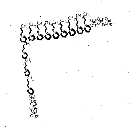 CCCC[n+]1ccccc1.CCCC[n+]1ccccc1.CCCC[n+]1ccccc1.CCCC[n+]1ccccc1.CCCC[n+]1ccccc1.CCCC[n+]1ccccc1.CCCC[n+]1ccccc1.CCCC[n+]1ccccc1.CCCC[n+]1ccccc1.CCCC[n+]1ccccc1.CCCC[n+]1ccccc1.CCCC[n+]1ccccc1.O=P([O-])([O-])F.O=P([O-])([O-])F.O=P([O-])([O-])F.O=P([O-])([O-])F.O=P([O-])([O-])F.O=P([O-])([O-])F